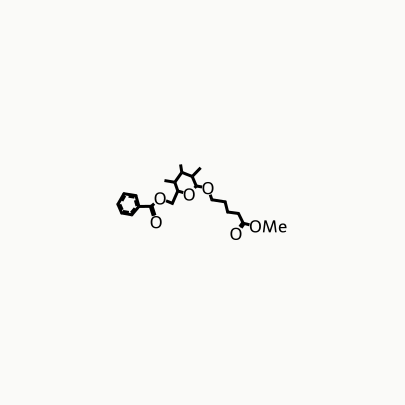 COC(=O)CCCCOC1OC(COC(=O)c2ccccc2)C(C)C(C)C1C